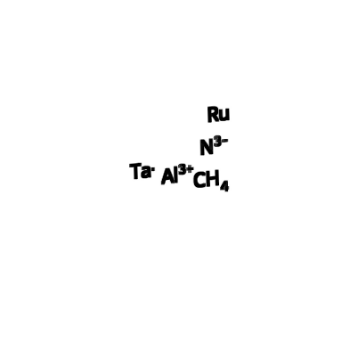 C.[Al+3].[N-3].[Ru].[Ta]